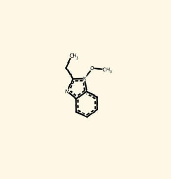 CCc1nc2ccccc2n1OC